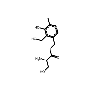 Cc1ncc(COC(=O)[C@@H](N)CO)c(CO)c1O